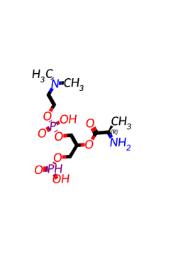 C[C@@H](N)C(=O)OC(CO[PH](=O)O)COP(=O)(O)OCCN(C)C